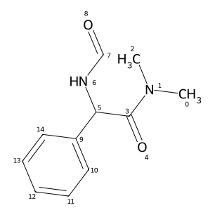 CN(C)C(=O)C(NC=O)c1ccccc1